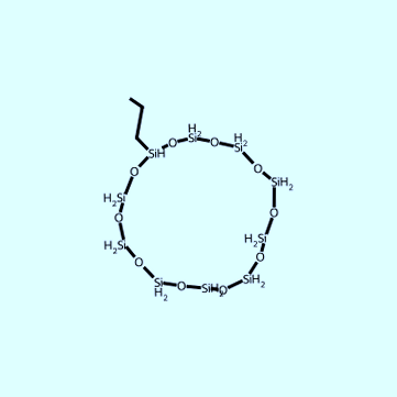 CCC[SiH]1O[SiH2]O[SiH2]O[SiH2]O[SiH2]O[SiH2]O[SiH2]O[SiH2]O[SiH2]O[SiH2]O1